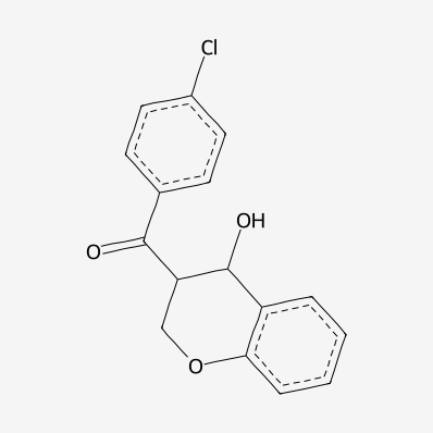 O=C(c1ccc(Cl)cc1)C1COc2ccccc2C1O